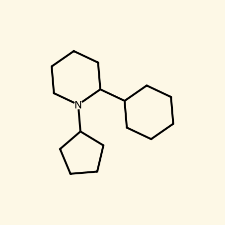 C1CCC(C2CCCCN2C2CCCC2)CC1